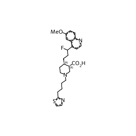 COc1ccc2nccc(C(F)CC[C@@H]3CCN(CCCCc4nccs4)C[C@@H]3C(=O)O)c2c1